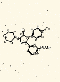 CSc1nccc(-c2cn(C3CCOCC3)c(=O)n2-c2ccc(F)cc2)n1